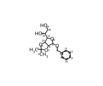 CC1(C)OC2C(OCc3ccccc3)OC(C(O)CO)C2O1